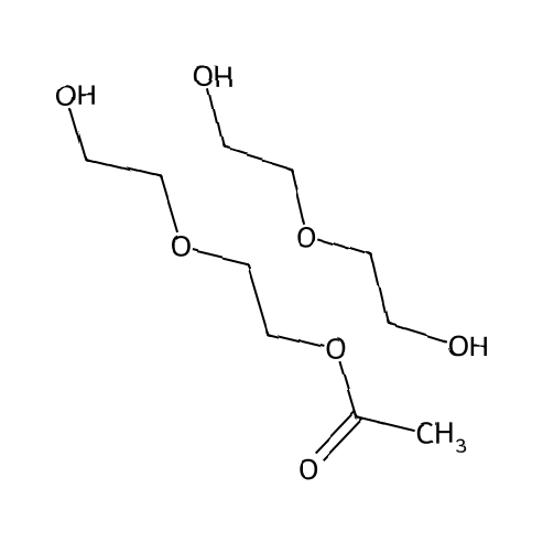 CC(=O)OCCOCCO.OCCOCCO